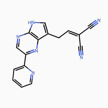 N#CC(C#N)=CCc1c[nH]c2ncc(-c3ccccn3)nc12